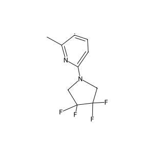 Cc1[c]ccc(N2CC(F)(F)C(F)(F)C2)n1